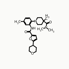 Cc1ccc(N2CCC(C)(C(=O)N(C)C)CC2)c(NC(=O)c2ccc(C3CCOCC3)o2)c1